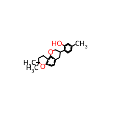 Cc1ccc(C2COc3c(ccc4c3CCC(C)(C)O4)C2)c(O)c1